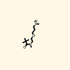 CN(CCOCCC[SH](C)C)C(=O)C(C)(C)C